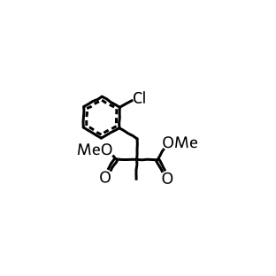 COC(=O)C(C)(Cc1ccccc1Cl)C(=O)OC